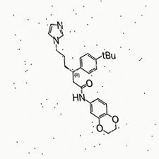 CC(C)(C)c1ccc([C@H](CCCn2ccnc2)CC(=O)Nc2ccc3c(c2)OCCO3)cc1